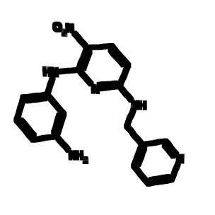 Nc1cccc(Nc2nc(NCc3cccnc3)ccc2[N+](=O)[O-])c1